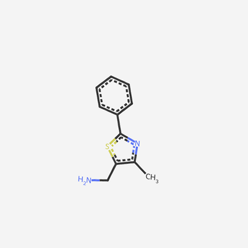 Cc1nc(-c2ccccc2)sc1CN